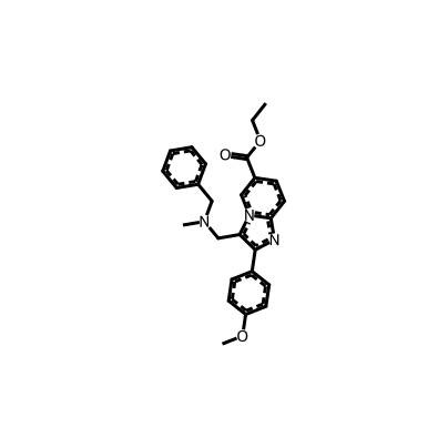 CCOC(=O)c1ccc2nc(-c3ccc(OC)cc3)c(CN(C)Cc3ccccc3)n2c1